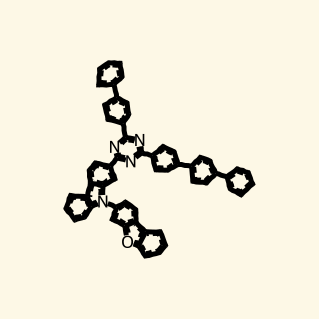 c1ccc(-c2ccc(-c3ccc(-c4nc(-c5ccc(-c6ccccc6)cc5)nc(-c5ccc6c7ccccc7n(-c7ccc8c(c7)oc7ccccc78)c6c5)n4)cc3)cc2)cc1